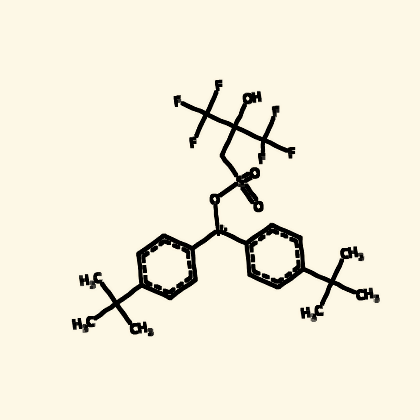 CC(C)(C)c1ccc([I+](OS(=O)(=O)CC(O)(C(F)(F)F)C(F)(F)F)c2ccc(C(C)(C)C)cc2)cc1